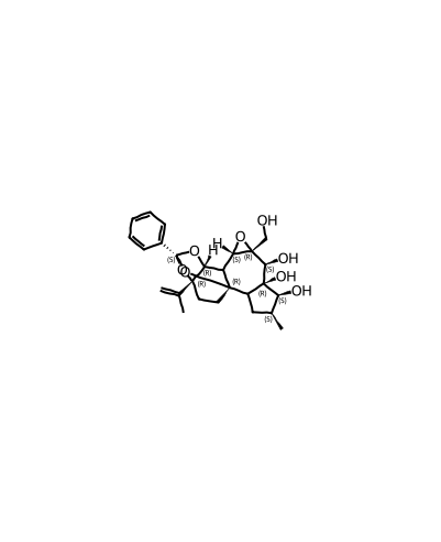 C=C(C)[C@]12CC[C@@]34O[C@](c5ccccc5)(O[C@@H]1C3[C@@H]1O[C@]1(CO)[C@@H](O)[C@@]1(O)C4C[C@H](C)[C@@H]1O)O2